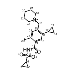 O=C(NS(=O)(=O)C1CC1)c1cc(C2CC2)c(CN2CCCCC2)cc1F